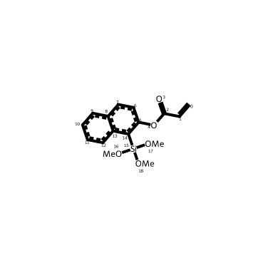 C=CC(=O)Oc1ccc2ccccc2c1[Si](OC)(OC)OC